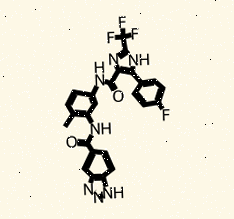 Cc1ccc(NC(=O)c2nc(C(F)(F)F)[nH]c2-c2ccc(F)cc2)cc1NC(=O)c1ccc2[nH]nnc2c1